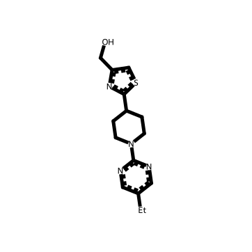 CCc1cnc(N2CCC(c3nc(CO)cs3)CC2)nc1